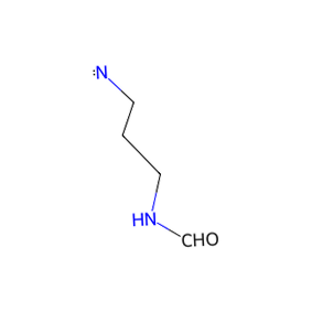 [N]CCCNC=O